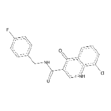 O=C(NCc1ccc(F)cc1)c1c[nH]c2c(Cl)cccc2c1=O